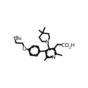 Cc1nc(C)c(-c2ccc(OCCC(C)(C)C)cc2)c(N2CCC(C)(C)CC2)c1CC(=O)O